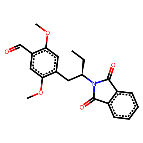 CC[C@H](Cc1cc(OC)c(C=O)cc1OC)N1C(=O)c2ccccc2C1=O